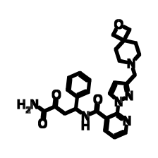 NC(=O)C(=O)CC(NC(=O)c1cccnc1-n1ccc(CN2CCC3(CC2)COC3)n1)c1ccccc1